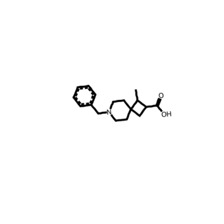 CC1C(C(=O)O)CC12CCN(Cc1ccccc1)CC2